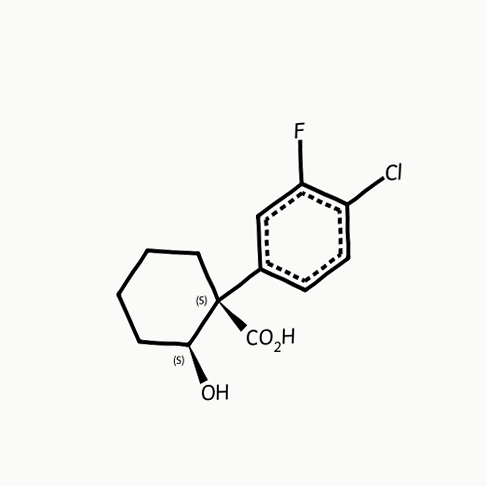 O=C(O)[C@]1(c2ccc(Cl)c(F)c2)CCCC[C@@H]1O